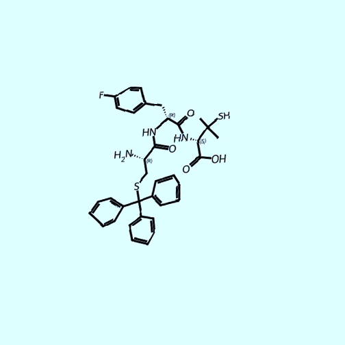 CC(C)(S)[C@@H](NC(=O)[C@@H](Cc1ccc(F)cc1)NC(=O)[C@@H](N)CSC(c1ccccc1)(c1ccccc1)c1ccccc1)C(=O)O